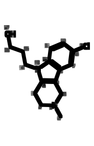 CN1CCc2c(c3cc(Cl)ccc3n2CCCO)C1